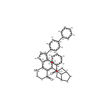 O=C1CCNc2c1c(C1CC3CCC(C1)N3C(=O)c1cccnn1)nc1c(-c3ccc(-c4ccccc4)nc3)cnn21